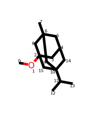 COC12CC3CC(C)(C1)CC(C(C)C)(C3)C2